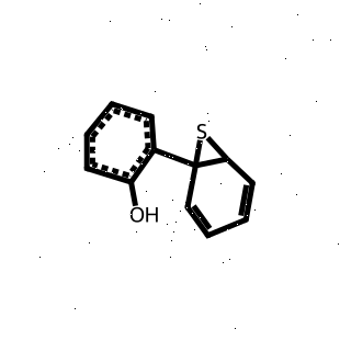 Oc1ccccc1C12C=CC=CC1S2